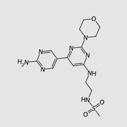 CS(=O)(=O)NCCNc1cc(-c2cnc(N)nc2)nc(N2CCOCC2)n1